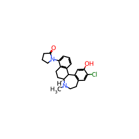 CN1CCc2cc(Cl)c(O)cc2C2c3cccc(N4CCCC4=O)c3CC[C@@H]21